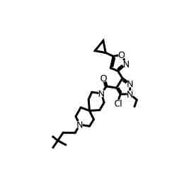 CCn1nc(-c2cc(C3CC3)on2)c(C(=O)N2CCC3(CCN(CCC(C)(C)C)CC3)CC2)c1Cl